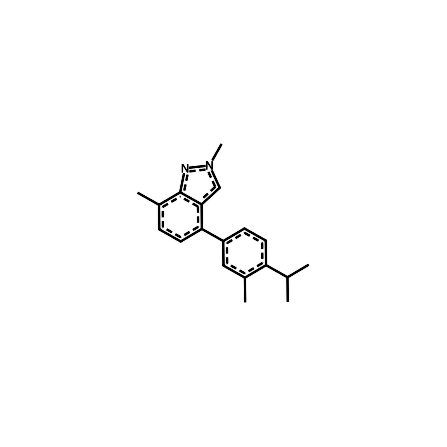 Cc1cc(-c2ccc(C)c3nn(C)cc23)ccc1C(C)C